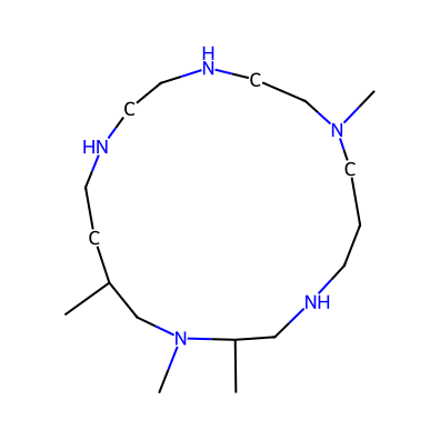 CC1CCNCCNCCN(C)CCCNCC(C)N(C)C1